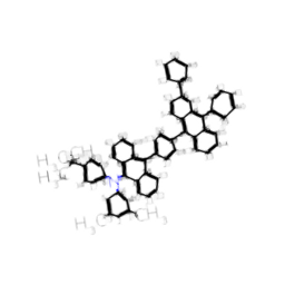 Cc1cc(C)cc(N(c2ccc(C(C)(C)C)cc2)c2c3ccccc3c(-c3ccc(-c4c5ccccc5c(-c5ccccc5)c5cc(-c6ccccc6)ccc45)cc3)c3ccccc23)c1